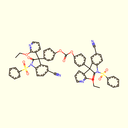 CCOc1ncccc1C1(c2ccc(OC(=O)Oc3ccc(C4(c5cccnc5OCC)C(=O)N(S(=O)(=O)c5ccccc5)c5ccc(C#N)cc54)cc3)cc2)C(=O)N(S(=O)(=O)c2ccccc2)c2ccc(C#N)cc21